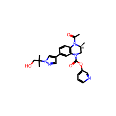 CC(=O)N1c2ccc(-c3cnn(C(C)(C)CO)c3)cc2N(C(=O)Oc2cccnc2)C[C@@H]1C